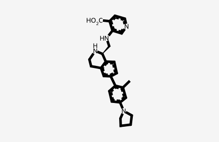 Cc1cc(N2CCCC2)ccc1-c1ccc2c(c1)CCN[C@H]2CNc1cnccc1C(=O)O